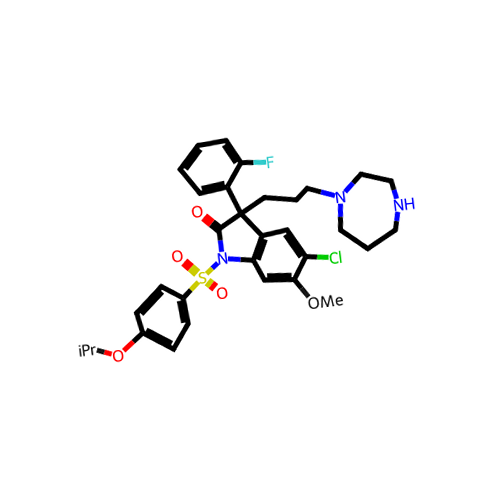 COc1cc2c(cc1Cl)C(CCCN1CCCNCC1)(c1ccccc1F)C(=O)N2S(=O)(=O)c1ccc(OC(C)C)cc1